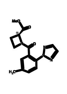 COC(=O)[C@@H]1CCN1C(=O)c1cc(C)ccc1-n1nccn1